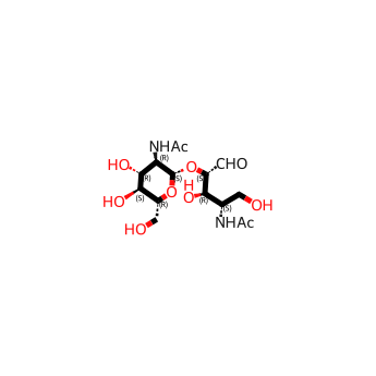 CC(=O)N[C@H]1[C@H](O[C@H](C=O)[C@H](O)[C@H](CO)NC(C)=O)O[C@H](CO)[C@@H](O)[C@@H]1O